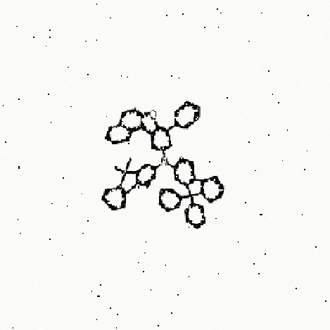 CC1(C)c2ccccc2-c2ccc(N(c3ccc4c(c3)C(c3ccccc3)(c3ccccc3)c3ccccc3-4)c3cc(-c4ccccc4)c4oc5ccc6ccccc6c5c4c3)cc21